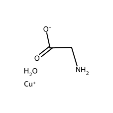 NCC(=O)[O-].O.[Cu+]